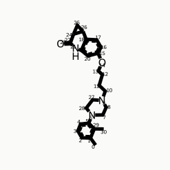 Cc1cccc(N2CCN(CCCCOc3ccc4c(c3)NC(=O)C3CC43)CC2)c1C